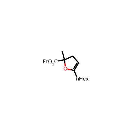 CCCCCCC1=CCC(C)(C(=O)OCC)O1